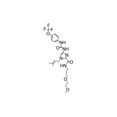 COCCOCCCNC(=O)c1nc(NC(=O)Nc2ccc(OC(F)(F)F)cc2)cn1CC=C(C)C